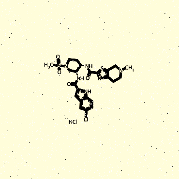 CN1CCc2nc(C(=O)N[C@H]3CCN(S(C)(=O)=O)C[C@H]3NC(=O)c3cc4cc(Cl)ccc4[nH]3)sc2C1.Cl